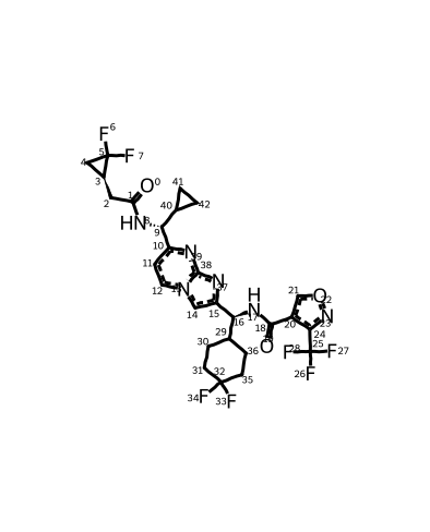 O=C(C[C@H]1CC1(F)F)N[C@@H](c1ccn2cc([C@@H](NC(=O)c3conc3C(F)(F)F)C3CCC(F)(F)CC3)nc2n1)C1CC1